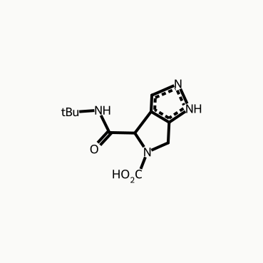 CC(C)(C)NC(=O)C1c2cn[nH]c2CN1C(=O)O